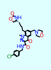 Cn1nc(C(=O)NCc2ccc(Cl)cc2)c(=O)c2cc(CN3CCOCC3)cc(CCCC[C@@H]3COC(=O)N3)c21